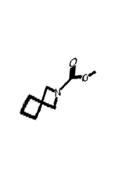 COC(=O)N1CC2(CCC2)C1